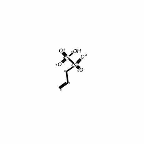 C=CCS(=O)(=O)S(=O)(=O)O